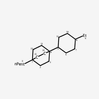 CCCCCC12CCC(C3CCC(CC)CC3)(CC1)CC2